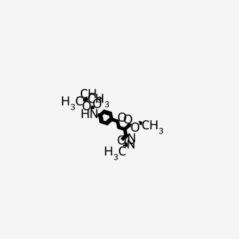 CCOC(=O)C(CC(=O)c1ccc(NC(=O)OC(C)(C)C)cc1)c1nnc(C)o1